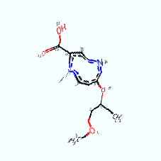 COCC(C)Oc1cnc(C(=O)O)cn1